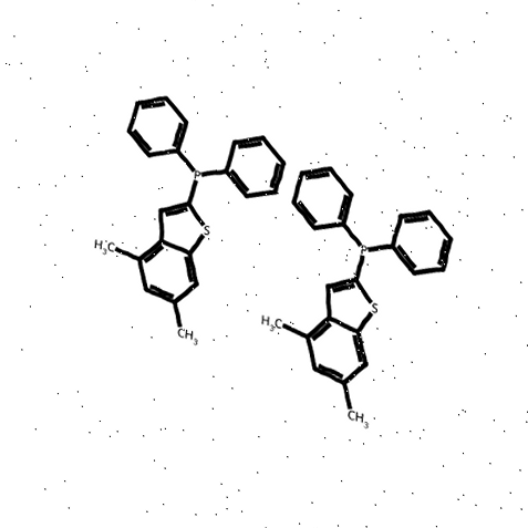 Cc1cc(C)c2cc(P(c3ccccc3)c3ccccc3)sc2c1.Cc1cc(C)c2cc(P(c3ccccc3)c3ccccc3)sc2c1